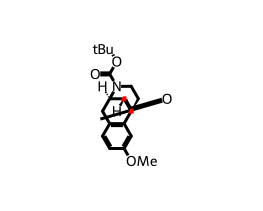 COc1ccc2c(c1)[C@]13CCN(C(=O)OC(C)(C)C)[C@H](C2)[C@@H]1CCC(=O)C3